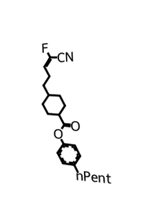 CCCCCc1ccc(OC(=O)C2CCC(CC/C=C(/F)C#N)CC2)cc1